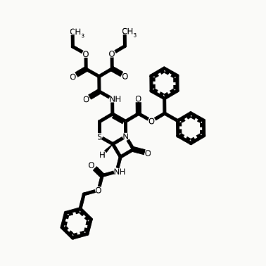 CCOC(=O)C(C(=O)NC1=C(C(=O)OC(c2ccccc2)c2ccccc2)N2C(=O)C(NC(=O)OCc3ccccc3)[C@@H]2SC1)C(=O)OCC